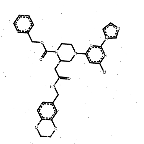 O=C(CC1CN(c2cc(Cl)nc(-n3ccnc3)n2)CCN1C(=O)OCc1ccccc1)NCc1ccc2c(c1)OCCO2